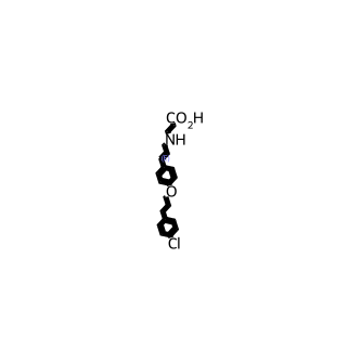 O=C(O)CCNC/C=C/c1ccc(OCCCc2ccc(Cl)cc2)cc1